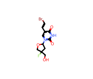 O=c1[nH]c(=O)n(C2CC(F)(CO)CO2)cc1/C=C/Br